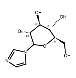 OC[C@H]1OC(n2ccnc2)[C@H](O)[C@@H](O)[C@@H]1O